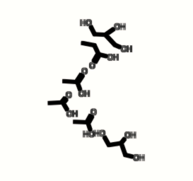 CC(=O)O.CC(=O)O.CC(=O)O.CCC(=O)O.OCC(O)CO.OCC(O)CO